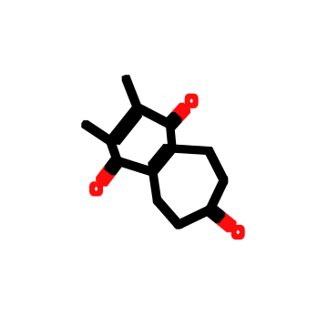 CC1=C(C)C(=O)C2=C(CCC(=O)CC2)C1=O